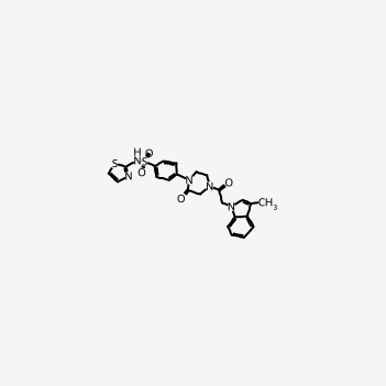 Cc1cn(CC(=O)N2CCN(c3ccc(S(=O)(=O)Nc4nccs4)cc3)C(=O)C2)c2ccccc12